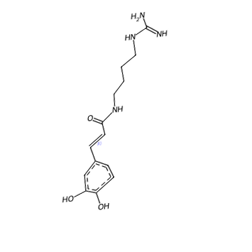 N=C(N)NCCCCNC(=O)/C=C/c1ccc(O)c(O)c1